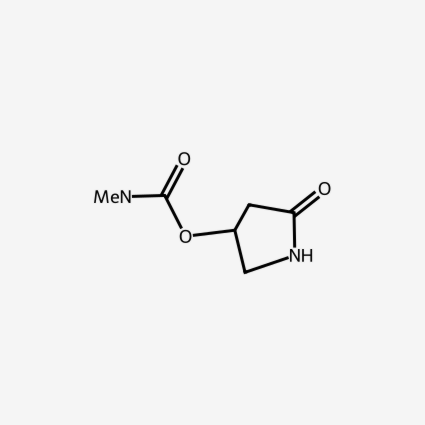 CNC(=O)OC1CNC(=O)C1